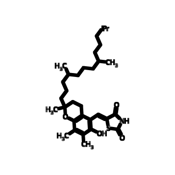 Cc1c(C)c2c(c(/C=C3\SC(=O)NC3=O)c1O)CCC(C)(CCCC(C)CCCC(C)CCCC(C)C)O2